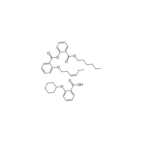 CC/C=C\CCOc1ccccc1C(=O)Oc1ccccc1C(=O)OCCCCCC.O=C(O)c1ccccc1OC1CCCCC1